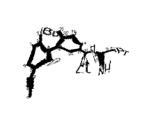 CC#Cc1ccc(C(C)CC)c(-c2cc(C(CC)NC(=N)C(C)C)ccc2C)c1